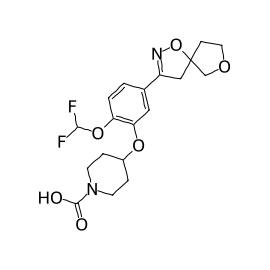 O=C(O)N1CCC(Oc2cc(C3=NOC4(CCOC4)C3)ccc2OC(F)F)CC1